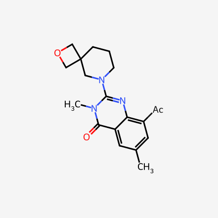 CC(=O)c1cc(C)cc2c(=O)n(C)c(N3CCCC4(COC4)C3)nc12